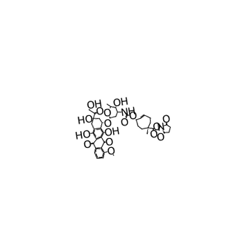 COc1cccc2c1C(=O)c1c(O)c3c(c(O)c1C2=O)C[C@@](O)(C(=O)CO)C[C@@H]3O[C@H]1CC(NC(=O)O[C@@H]2/C=C/CC[C@](C)(C(=O)ON3C(=O)CCC3=O)CC2)[C@@H](O)C(C)O1